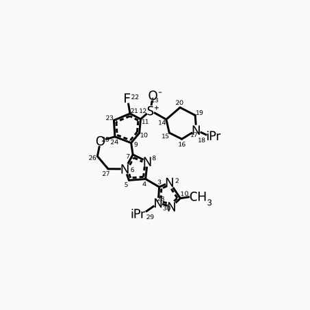 Cc1nc(-c2cn3c(n2)-c2cc([S+]([O-])C4CCN(C(C)C)CC4)c(F)cc2OCC3)n(C(C)C)n1